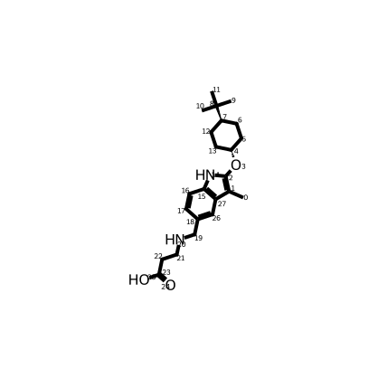 Cc1c(O[C@H]2CC[C@H](C(C)(C)C)CC2)[nH]c2ccc(CNCCC(=O)O)cc12